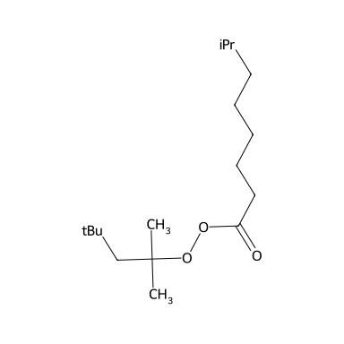 CC(C)CCCCCC(=O)OOC(C)(C)CC(C)(C)C